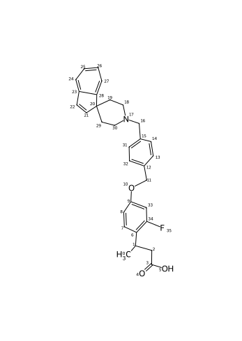 CC(CC(=O)O)c1ccc(OCc2ccc(CN3CCC4(C=Cc5ccccc54)CC3)cc2)cc1F